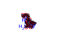 CCc1nc(C)oc1C(=O)Nc1nc2cc(C(N)=O)cc(OCCCN(C)C(=O)OCc3ccc(NC(=O)[C@H](C)NC(=O)[C@@H](NC(=O)CCN4C(=O)C=CC4=O)C(C)C)cc3)c2n1C/C=C/Cn1c2ncc(C(N)=O)cc2c2ccc(-c3cc(C)nn3CC)nc21